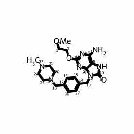 COCCOc1nc(N)c2[nH]c(=O)n(Cc3ccc(CN4CCN(C)CC4)cc3)c2n1